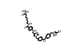 CCc1cn(Cc2ccc(C(=O)c3ccc(Cn4cc(CNc5ccc(C(=O)NCCCCCCC(=O)NO)cc5)nn4)cc3)cc2)nn1